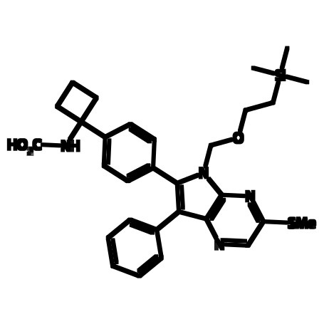 CSc1cnc2c(-c3ccccc3)c(-c3ccc(C4(NC(=O)O)CCC4)cc3)n(COCC[Si](C)(C)C)c2n1